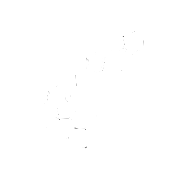 O=C1CCC(N2Cc3c(OCc4ccc(S(=O)(=O)N5CCOCC5)cc4)cccc3C2=O)C(=O)N1